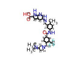 Cc1ccc(NC(=O)c2ccc(CN3CC[C@H](N(C)C)C3)c(C(F)(F)F)c2)cc1CNc1cnc2[nH]c(C(=O)O)cc2c1